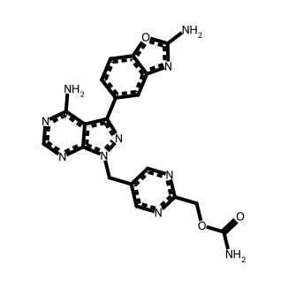 NC(=O)OCc1ncc(Cn2nc(-c3ccc4oc(N)nc4c3)c3c(N)ncnc32)cn1